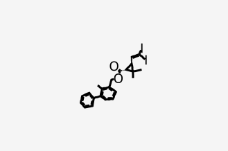 Cc1c(COC(=O)[C@@H]2[C@@H](C=C(I)I)C2(C)C)cccc1-c1ccccc1